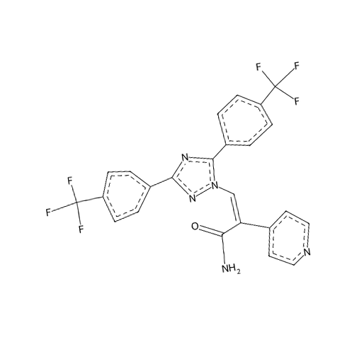 NC(=O)C(=Cn1nc(-c2ccc(C(F)(F)F)cc2)nc1-c1ccc(C(F)(F)F)cc1)c1ccncc1